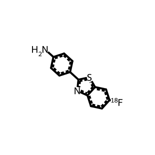 Nc1ccc(-c2nc3ccc([18F])cc3s2)cc1